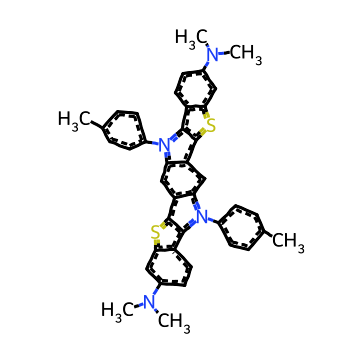 Cc1ccc(-n2c3cc4c5sc6cc(N(C)C)ccc6c5n(-c5ccc(C)cc5)c4cc3c3sc4cc(N(C)C)ccc4c32)cc1